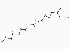 CCCCCCCCCCCCCCC(C)C[O]